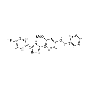 COc1cc(OCc2ccccc2)ccc1-c1c[nH]c(-c2ccc(F)cc2)n1